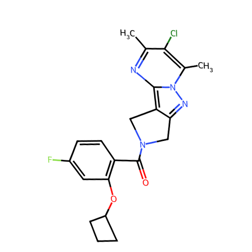 Cc1nc2c3c(nn2c(C)c1Cl)CN(C(=O)c1ccc(F)cc1OC1CCC1)C3